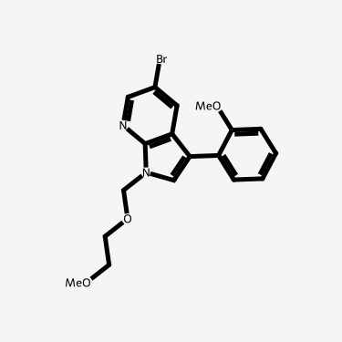 COCCOCn1cc(-c2ccccc2OC)c2cc(Br)cnc21